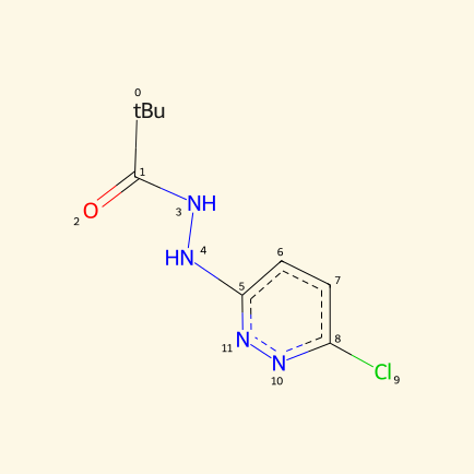 CC(C)(C)C(=O)NNc1ccc(Cl)nn1